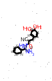 N#C/C(=C\c1ccc(O)c(O)c1)C(=O)N[C@H](N)c1ccccc1